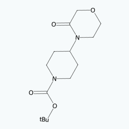 CC(C)(C)OC(=O)N1CCC(N2CCOCC2=O)CC1